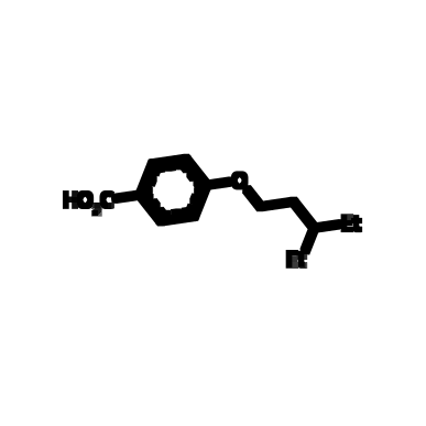 CCC(CC)CCOc1ccc(C(=O)O)cc1